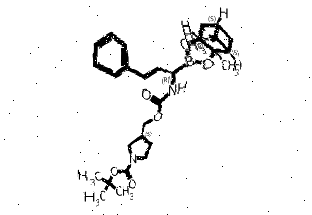 CC(C)(C)OC(=O)N1CC[C@H](COC(=O)N[C@@H](CCc2ccccc2)B2O[C@@H]3C[C@@H]4C[C@@H](C4(C)C)[C@]3(C)O2)C1